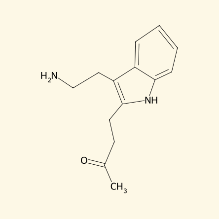 CC(=O)CCc1[nH]c2ccccc2c1CCN